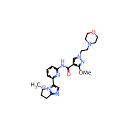 COc1nn(CCN2CCOCC2)cc1C(=O)Nc1cccc(-c2cnc3n2[C@@H](C)CC3)n1